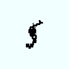 CC(C)CCC[C@@H](C)C1CC[C@H]2[C@@H]3CC=C4C[C@@H](OCCN)CC[C@]4(C)[C@H]3CC[C@]12C